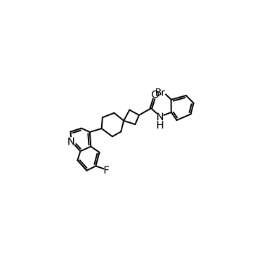 O=C(Nc1ccccc1Br)C1CC2(CCC(c3ccnc4ccc(F)cc34)CC2)C1